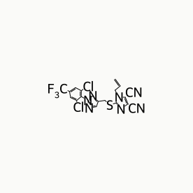 C=CCn1c(SCc2cnn(-c3c(Cl)cc(C(F)(F)F)cc3Cl)n2)nc(C#N)c1C#N